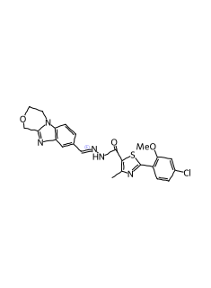 COc1cc(Cl)ccc1-c1nc(C)c(C(=O)N/N=C/c2ccc3c(c2)nc2n3CCOC2)s1